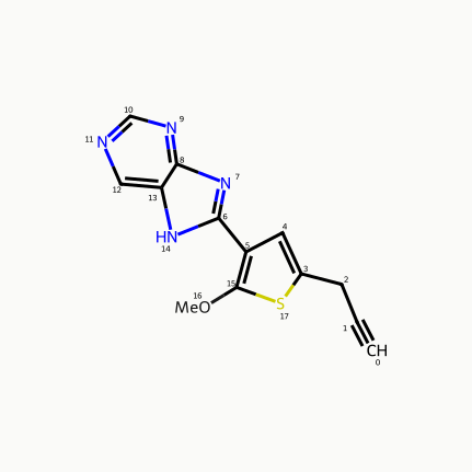 C#CCc1cc(-c2nc3ncncc3[nH]2)c(OC)s1